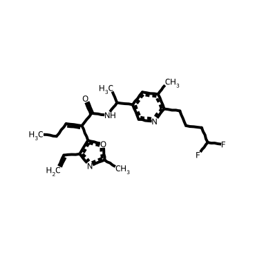 C=Cc1nc(C)oc1/C(=C\CC)C(=O)NC(C)c1cnc(CCCC(F)F)c(C)c1